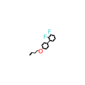 C=CCCOc1ccc(-c2cccc(F)c2F)cc1